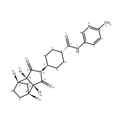 Cc1ccc(NC(=O)[C@H]2CC[C@H](N3C(=O)[C@@H]4[C@@H]5CC[C@@H](C5)[C@@H]4C3=O)CC2)cn1